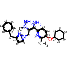 Cc1nc(/C(N)=C(\Cn2ccc(Cc3ccccc3)n2)N(C)N)ccc1OC1CCCCC1